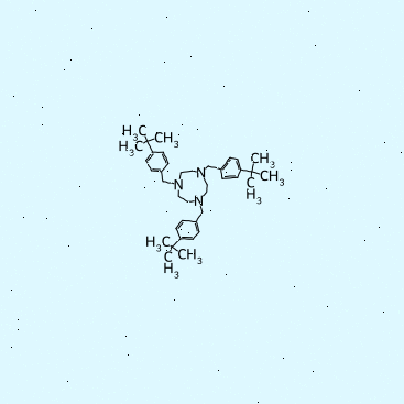 CC(C)(C)c1ccc(CN2CCN(Cc3ccc(C(C)(C)C)cc3)CCN(Cc3ccc(C(C)(C)C)cc3)CC2)cc1